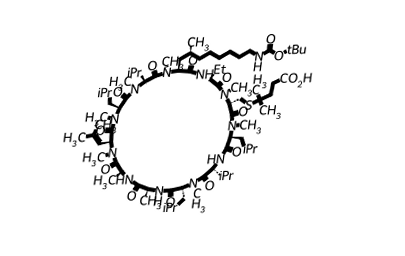 CC[C@@H]1NC(=O)[C@H](C[C@H](C)CCCCCCNC(=O)OC(C)(C)C)N(C)C(=O)[C@H](C(C)C)N(C)C(=O)[C@H](CC(C)C)N(C)C(=O)[C@H](C=C(C)C)N(C)C(=O)[C@H](C)NC(=O)[C@@H](C)NC(=O)[C@@H](CC(C)C)N(C)C(=O)[C@@H](C(C)C)NC(=O)[C@H](CC(C)C)N(C)C(=O)[C@@H](CSC(C)(C)CCC(=O)O)N(C)C1=O